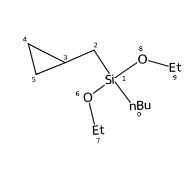 CCCC[Si](CC1CC1)(OCC)OCC